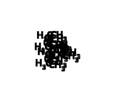 CC(C)(C)C(=O)CC(=O)C(C)(C)[CH2][Yb]([CH2]C(C)(C)C(=O)CC(=O)C(C)(C)C)[CH2]C(C)(C)C(=O)CC(=O)C(C)(C)C